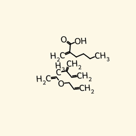 C=C(CCCC)C(=O)O.C=CC(=C)C.C=CCOC=C